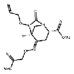 C=CCON1C(=O)N2C[C@H]1/C(=N\OCC(=O)NC)C[C@H]2C(=O)OC